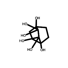 OC12CCC(O)(CC1)C(O)(O)C2(O)O